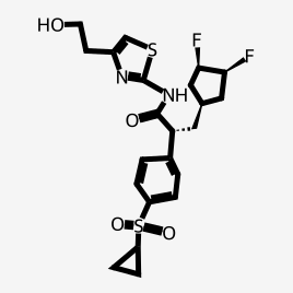 O=C(Nc1nc(CCO)cs1)[C@H](C[C@H]1C[C@@H](F)[C@@H](F)C1)c1ccc(S(=O)(=O)C2CC2)cc1